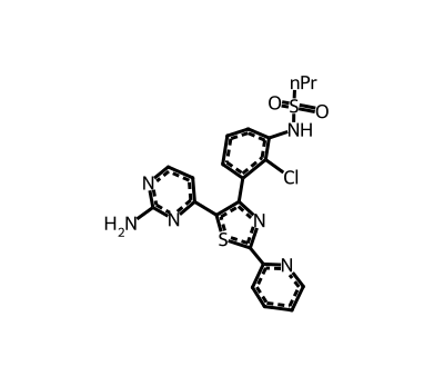 CCCS(=O)(=O)Nc1cccc(-c2nc(-c3ccccn3)sc2-c2ccnc(N)n2)c1Cl